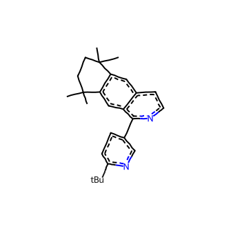 CC(C)(C)c1ccc(-c2nccc3cc4c(cc23)C(C)(C)CCC4(C)C)cn1